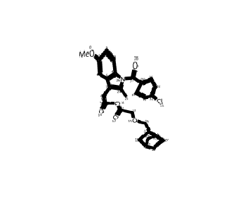 COc1ccc2c(c1)c(CC(=O)OC(=O)COCC1CC3C=CC1C3)c(C)n2C(=O)c1ccc(Cl)cc1